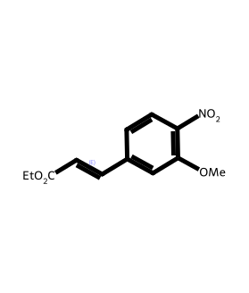 CCOC(=O)/C=C/c1ccc([N+](=O)[O-])c(OC)c1